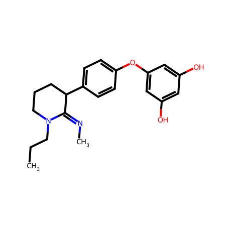 CCCN1CCCC(c2ccc(Oc3cc(O)cc(O)c3)cc2)/C1=N/C